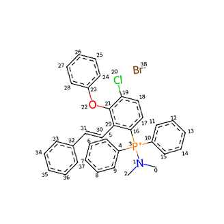 CN(C)[P+](c1ccccc1)(c1ccccc1)c1ccc(Cl)c(Oc2ccccc2)c1C=Cc1ccccc1.[Br-]